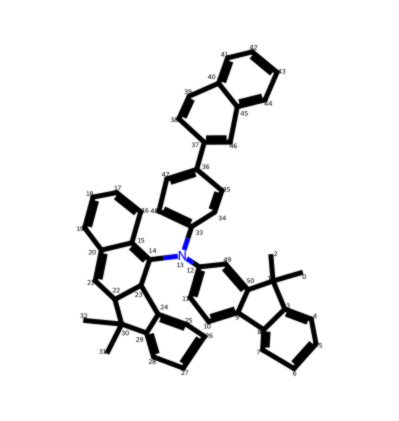 CC1(C)c2ccccc2-c2ccc(N(C3=c4ccccc4=CC4C3c3ccccc3C4(C)C)c3ccc(-c4ccc5ccccc5c4)cc3)cc21